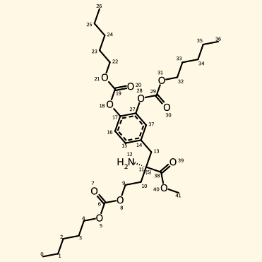 CCCCCOC(=O)OCC[C@@](N)(Cc1ccc(OC(=O)OCCCCC)c(OC(=O)OCCCCC)c1)C(=O)OC